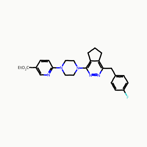 CCOC(=O)c1ccc(N2CCN(c3nnc(Cc4ccc(F)cc4)c4c3CCC4)CC2)nc1